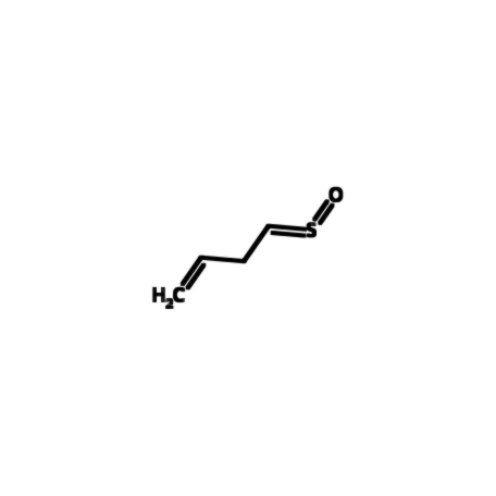 C=CCC=S=O